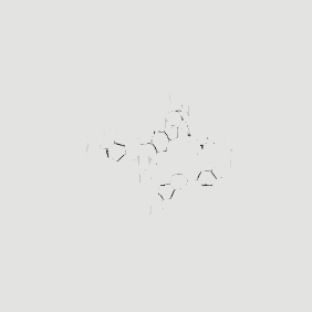 CO[C@@]12[C@H](COC(N)=O)C3=C(C(=O)C(C)=C(N)C3=O)N1C[C@@H]1N[C@@H]12.COc1ccc([C@@H]2CC(=O)c3c(O)cc(O)cc3O2)cc1O.Oc1cccc(O)c1O